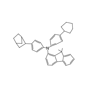 CC1(C)c2ccccc2-c2cccc(N(c3ccc(C4CCCCC4)cc3)c3ccc(C4CC5CCC4C5)cc3)c21